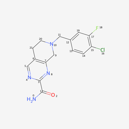 NC(=O)c1n[c]c2c(n1)CN(Cc1ccc(Cl)c(F)c1)CC2